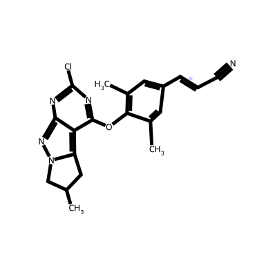 Cc1cc(/C=C/C#N)cc(C)c1Oc1nc(Cl)nc2nn3c(c12)CC(C)C3